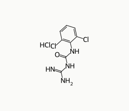 Cl.N=C(N)NC(=O)Nc1c(Cl)cccc1Cl